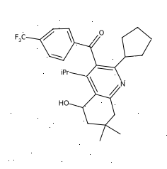 CC(C)c1c(C(=O)c2ccc(C(F)(F)F)cc2)c(C2CCCC2)nc2c1C(O)CC(C)(C)C2